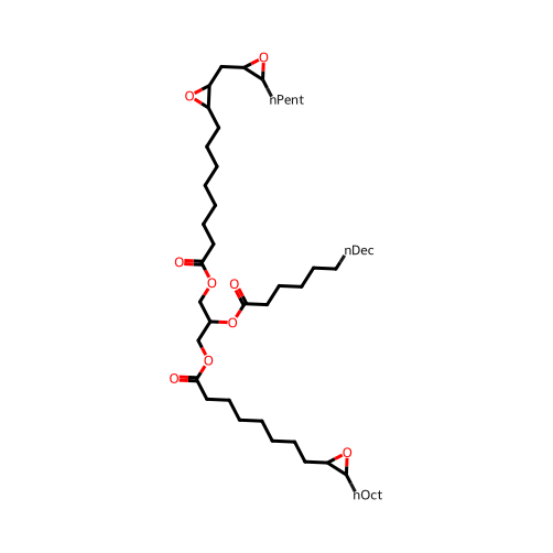 CCCCCCCCCCCCCCCC(=O)OC(COC(=O)CCCCCCCC1OC1CCCCCCCC)COC(=O)CCCCCCCC1OC1CC1OC1CCCCC